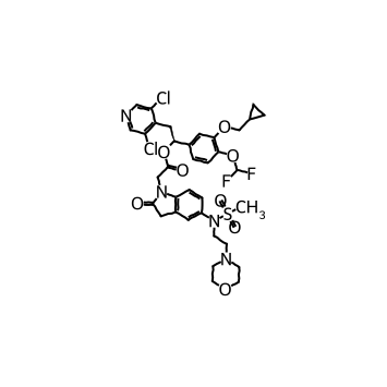 CS(=O)(=O)N(CCN1CCOCC1)c1ccc2c(c1)CC(=O)N2CC(=O)O[C@@H](Cc1c(Cl)cncc1Cl)c1ccc(OC(F)F)c(OCC2CC2)c1